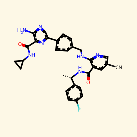 C[C@H](NC(=O)c1cc(C#N)cnc1NCc1ccc(-c2cnc(N)c(C(=O)NC3CC3)n2)cc1)c1ccc(F)cc1